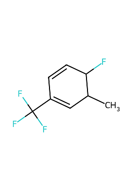 CC1C=C(C(F)(F)F)C=CC1F